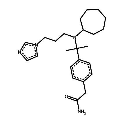 CC(C)(c1ccc(CC(N)=O)cc1)N(CCCn1ccnc1)C1CCCCCC1